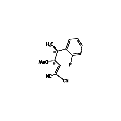 CO[C@@H](C=C(C#N)C#N)[C@@H](C)c1ccccc1F